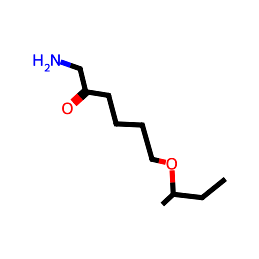 CCC(C)OCCCCC(=O)CN